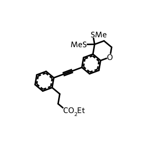 CCOC(=O)CCc1ccccc1C#Cc1ccc2c(c1)C(SC)(SC)CCO2